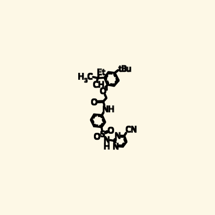 CCC(C)(C)c1cc(C(C)(C)C)ccc1OCC(=O)Nc1cccc(S(=O)(=O)Nc2nccc(C#N)n2)c1